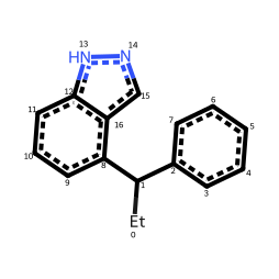 [CH2]CC(c1ccccc1)c1cccc2[nH]ncc12